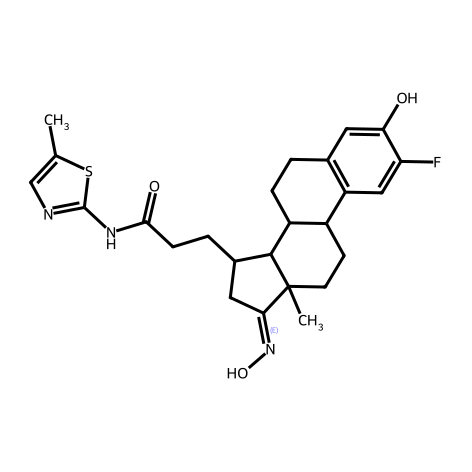 Cc1cnc(NC(=O)CCC2C/C(=N\O)C3(C)CCC4c5cc(F)c(O)cc5CCC4C23)s1